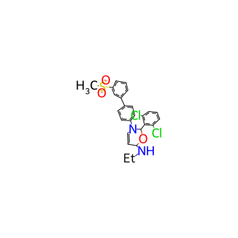 CCNC1C=CN(c2ccc(-c3cccc(S(C)(=O)=O)c3)cc2)C(c2c(Cl)cccc2Cl)O1